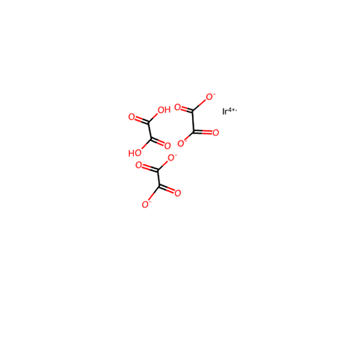 O=C(O)C(=O)O.O=C([O-])C(=O)[O-].O=C([O-])C(=O)[O-].[Ir+4]